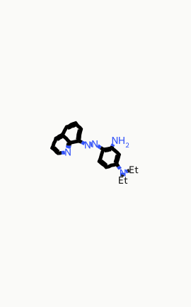 CCN(CC)c1ccc(N=Nc2cccc3cccnc23)c(N)c1